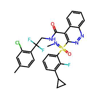 CN=S(=O)(c1cccc(C2CC2)c1F)c1nnc2ccccc2c1C(=O)NCC(F)(F)c1ccc(C)cc1Cl